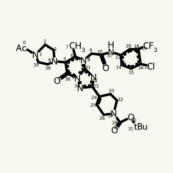 CC(=O)N1CCN(c2c(C)n(CC(=O)Nc3ccc(Cl)c(C(F)(F)F)c3)c3nc(C4=CCN(C(=O)OC(C)(C)C)CC4)nn3c2=O)CC1